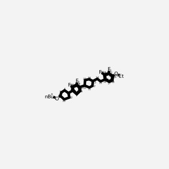 CCCCOC1CCC(c2ccc(C3CCC(CCc4ccc(OCC)c(F)c4F)CC3)c(F)c2F)CC1